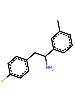 Cc1cccc(C(N)Cc2ccc(F)cc2)c1